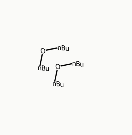 CCCCOCCCC.CCCCOCCCC